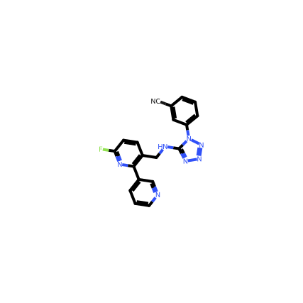 N#Cc1cccc(-n2nnnc2NCc2ccc(F)nc2-c2cccnc2)c1